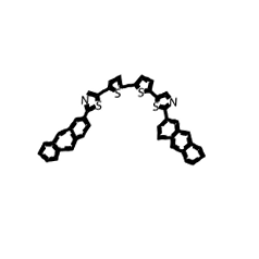 c1ccc2cc3cc(-c4ncc(-c5ccc(-c6ccc(-c7cnc(-c8ccc9cc%10ccccc%10cc9c8)s7)s6)s5)s4)ccc3cc2c1